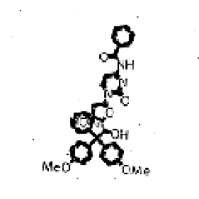 COc1ccc(C(c2ccccc2)(c2ccc(OC)cc2)C(O)[C@H]2O[C@@H](n3ccc(NC(=O)c4ccccc4)nc3=O)C[C@@H]2O)cc1